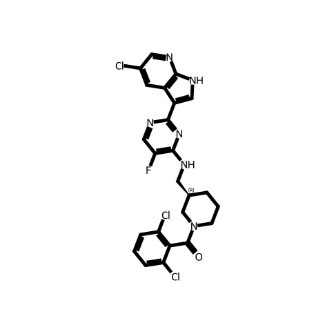 O=C(c1c(Cl)cccc1Cl)N1CCC[C@H](CNc2nc(-c3c[nH]c4ncc(Cl)cc34)ncc2F)C1